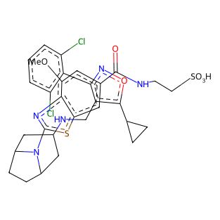 COc1cc(C(=O)NCCS(=O)(=O)O)cc2sc(N3C4CCC3CC(NCc3c(-c5c(Cl)cccc5Cl)noc3C3CC3)C4)nc12